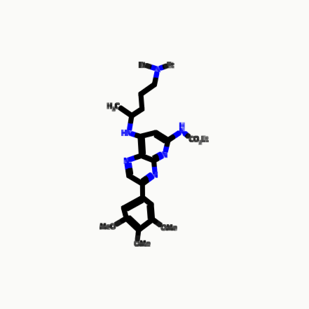 CCOC(=O)Nc1cc(NC(C)CCCN(CC)CC)c2ncc(-c3cc(OC)c(OC)c(OC)c3)nc2n1